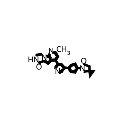 Cc1cc(-c2cncc(-c3ccc(N4CC5(CC5)CC4=O)cc3)c2)c2cc3n(c2n1)CCNC3=O